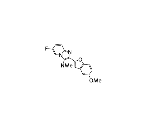 CNc1c(-c2cc3cc(OC)ccc3o2)nc2ccc(F)cn12